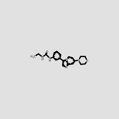 CCNC(=O)Nc1cccc(-c2cnc3cc(N4CCOCC4)ccn23)c1